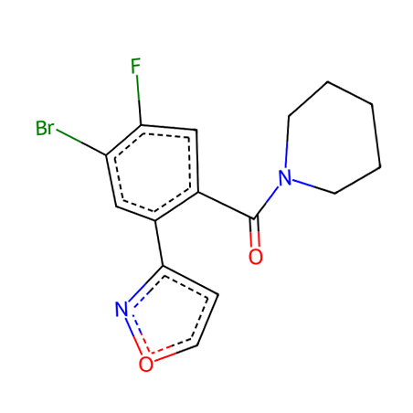 O=C(c1cc(F)c(Br)cc1-c1ccon1)N1CCCCC1